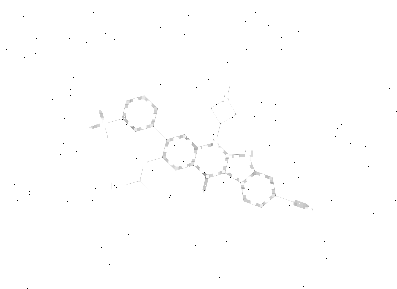 CC(C)Oc1cc2c(=O)c3c4ccc(C#N)cc4[nH]c3n(C3CN(C)C3)c2cc1-c1cccc(S(=O)(=O)F)c1